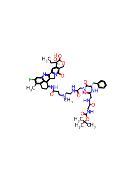 CC[C@@]1(O)C(=O)OCc2c1cc1n(c2=O)Cc2c-1nc1cc(F)c(C)c3c1c2[C@@H](NC(=O)CCN(C)CCNC(=O)CNC(=O)[C@H](Cc1ccccc1)NC(=O)CNC(=O)CNC(=O)OC(C)(C)C)CC3